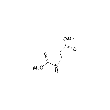 COC(=O)CC[SH](C)C(=O)OC